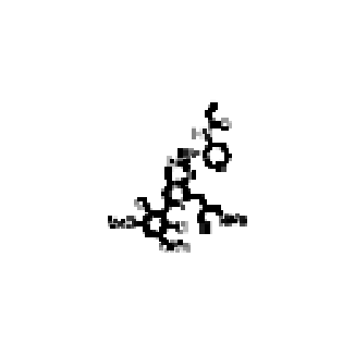 C=CC(=O)N[C@H]1CCOC[C@H]1Nc1ncc2cc(-c3c(Cl)c(OC)cc(OC)c3Cl)nc(C/C(C=N)=C/NC)c2n1